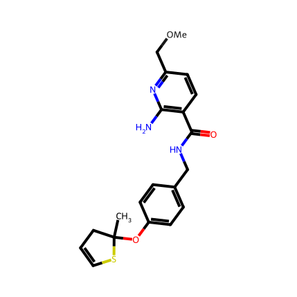 COCc1ccc(C(=O)NCc2ccc(OC3(C)CC=CS3)cc2)c(N)n1